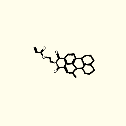 C=CC(=O)OCCN1C(=O)C2=CC(C)C(C3CCCCC3)c3c(C4CCCCC4)ccc(c32)C1=O